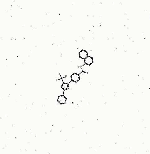 O=C(Nc1cccc2ccccc12)c1ccc(-n2nc(-c3cccnc3)cc2C(F)(F)F)nc1